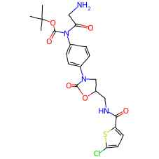 CC(C)(C)OC(=O)N(C(=O)CN)c1ccc(N2CC(CNC(=O)c3ccc(Cl)s3)OC2=O)cc1